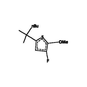 CCCCC(C)(C)c1cc(F)c(OC)s1